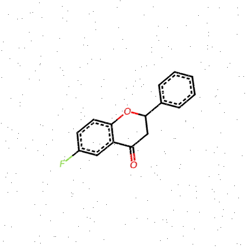 O=C1CC(c2ccccc2)Oc2ccc(F)cc21